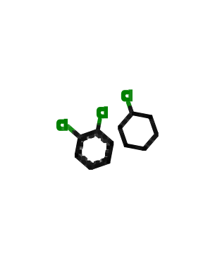 ClC1CCCCC1.Clc1ccccc1Cl